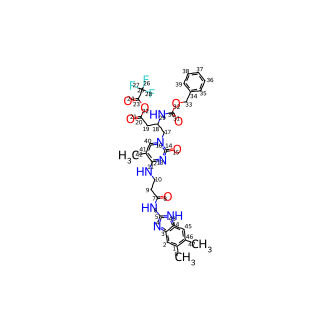 Cc1cc2nc(NC(=O)CCNc3nc(=O)n(CC(CC(=O)OC(=O)C(F)(F)F)NC(=O)OCc4ccccc4)cc3C)[nH]c2cc1C